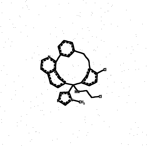 Cn1cncc1C1(NCCCl)c2ccc(Cl)c(c2)CCc2cccc(c2)-c2nccc3ccc1cc23